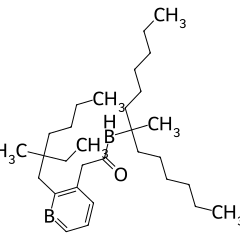 CCCCCCC(C)(BC(=O)Cc1cccbc1CC(C)(CC)CCCC)CCCCCC